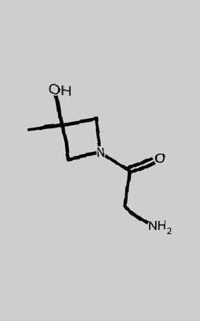 CC1(O)CN(C(=O)CN)C1